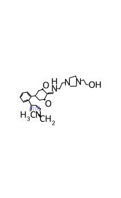 C=N/C=C\C(=C/C)c1ccccc1C1CC(=O)C(=CNCCN2CCN(CCO)CC2)C(=O)C1